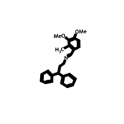 COc1ccc(C=NCCC(c2ccccc2)c2ccccc2)c(C)c1OC